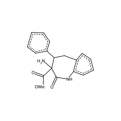 COC(=O)C1(N)C(=O)Nc2ccccc2CC1c1ccccc1